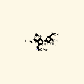 CO/C=C\c1cn(C2OC(CO)C(O)[C@@]2(C)O)c2ncnc(NO)c12